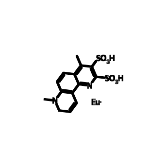 Cc1c(S(=O)(=O)O)c(S(=O)(=O)O)nc2c3c(ccc12)N(C)CC=C3.[Eu]